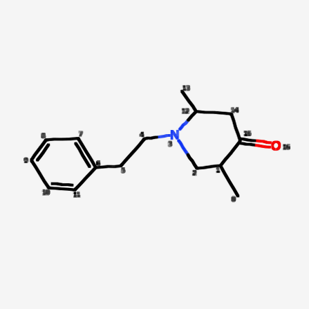 CC1CN(CCc2ccccc2)C(C)CC1=O